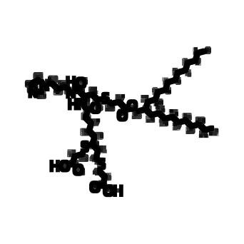 CCCCCCCCCCCCC(CCCCCCCCCC)COC(=O)CCSCCC(NC(=O)CCCCC(CCSCCC(=O)O)SCCC(=O)O)C(=O)NCCCn1ccnc1